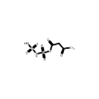 CC(=O)CC(=O)OS(=O)(=O)NS(=O)(=O)O